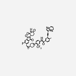 Cc1ccc(C(=O)Nc2ccc(N3CCC(N(C)Cc4cc5c(cc4F)C(=O)N(C4CCC(=O)NC4=O)C5=O)CC3)c(C(F)(F)F)c2)cc1C#Cc1cnc2cccnn12